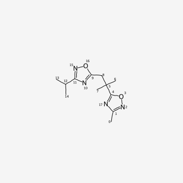 Cc1noc(C(C)(C)Cc2nc(C(C)C)no2)n1